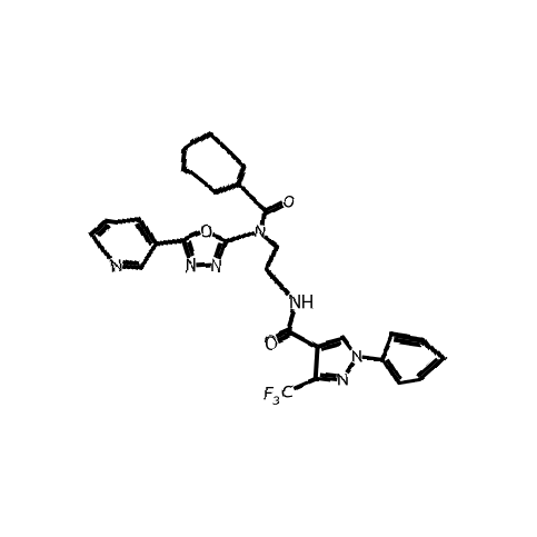 O=C(NCCN(C(=O)C1CCCCC1)c1nnc(-c2cccnc2)o1)c1cn(-c2ccccc2)nc1C(F)(F)F